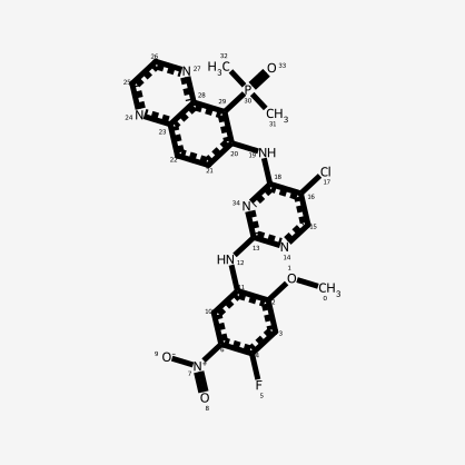 COc1cc(F)c([N+](=O)[O-])cc1Nc1ncc(Cl)c(Nc2ccc3nccnc3c2P(C)(C)=O)n1